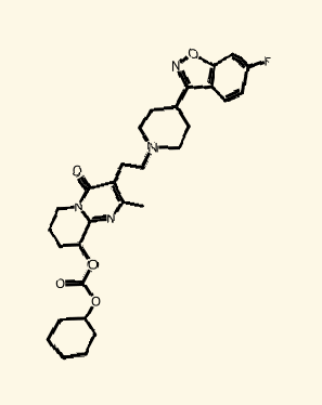 Cc1nc2n(c(=O)c1CCN1CCC(c3noc4cc(F)ccc34)CC1)CCCC2OC(=O)OC1CCCCC1